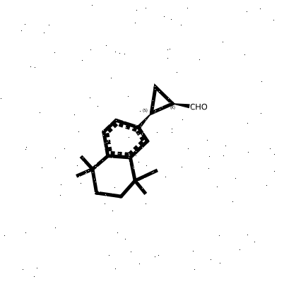 CC1(C)CCC(C)(C)c2cc([C@H]3C[C@H]3C=O)ccc21